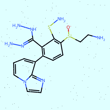 NCC[S+]([O-])c1ccc(-c2cccn3ccnc23)c(/C(=N/N)NN)c1SN